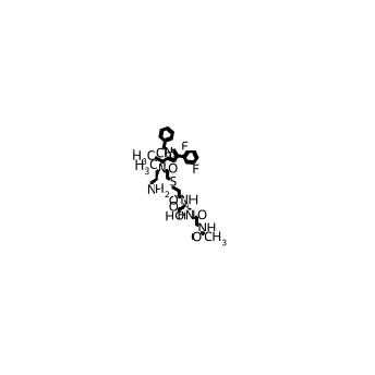 CC(=O)NCC(=O)NC[C@@H](NC(=O)CCSCC(=O)N(CCCN)[C@@H](c1cc(-c2cc(F)ccc2F)cn1Cc1ccccc1)C(C)(C)C)C(=O)O